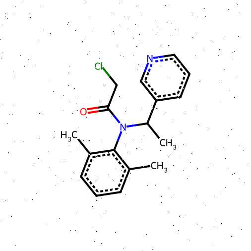 Cc1cccc(C)c1N(C(=O)CCl)C(C)c1cccnc1